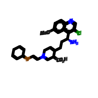 COc1ccc2ncc(Cl)c([C@H](N)CCC3CCN(CCSC4CCCCC4)CC3C(=O)O)c2c1